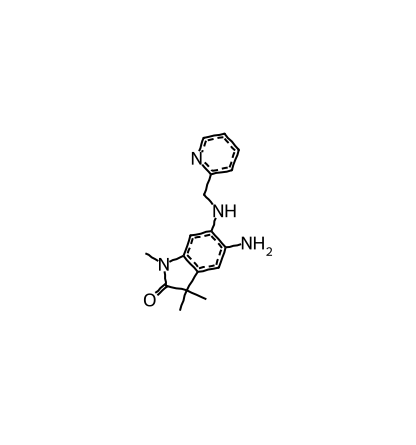 CN1C(=O)C(C)(C)c2cc(N)c(NCc3ccccn3)cc21